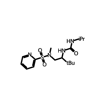 CC(C)NC(=O)NC(CN(C)S(=O)(=O)c1ccccn1)C(C)(C)C